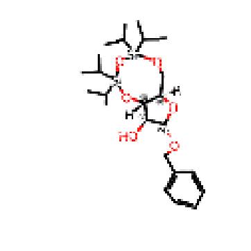 CC(C)[Si]1(C(C)C)OC[C@H]2O[C@H](OCc3ccccc3)[C@@H](O)[C@@H]2O[Si](C(C)C)(C(C)C)O1